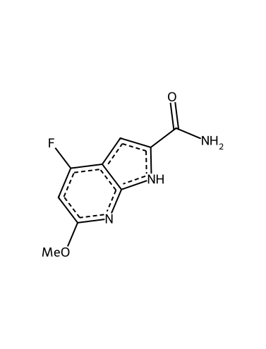 COc1cc(F)c2cc(C(N)=O)[nH]c2n1